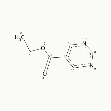 CCOC(=O)c1cncnc1